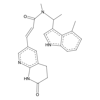 Cc1cccc2[nH]cc(C(C)N(C)C(=O)C=Cc3cnc4c(c3)CCC(=O)N4)c12